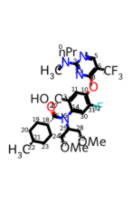 CCCN(C)c1ncc(C(F)(F)F)c(Oc2cc(C(=O)O)c(N(C(=O)[C@H]3CC[C@H](C)CC3)C(COC)COC)cc2F)n1